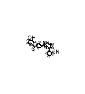 CC1(O)CCN(C(=O)c2ccc(-c3cn4c(-c5ccccc5C#N)cnc4cn3)cc2)CC1